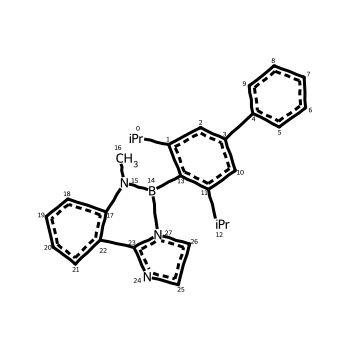 CC(C)c1cc(-c2ccccc2)cc(C(C)C)c1B1N(C)c2ccccc2-c2nccn21